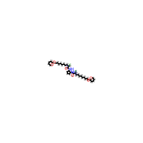 O=C(N[C@@H]1CCC[C@@H]1NC(=O)/C(F)=C\CCCCCCCOC1CCCCO1)/C(F)=C/CCCCCCCOC1CCCCO1